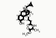 COC(=O)[C@H](C)NC(=O)CCC[C@]12CCN(CC3CC3)[C@H](Cc3ccc(O)cc31)[C@@H]2C